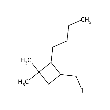 CCCCC1C(CI)CC1(C)C